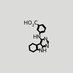 O=C(O)c1cccc(Nc2ncnc3[nH]c4c(c23)CCCC4)c1